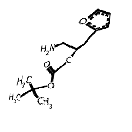 CC(C)(C)OC(=O)C[C@@H](CN)Cc1ccco1